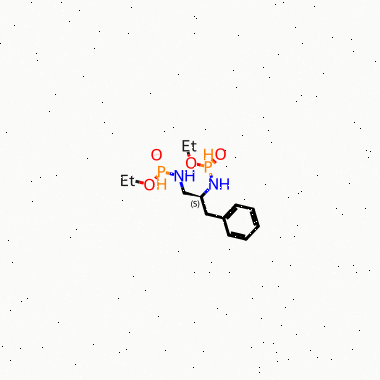 CCO[PH](=O)NC[C@H](Cc1ccccc1)N[PH](=O)OCC